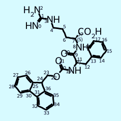 N=C(N)NCCC[C@H](NC(=O)[C@@H](Cc1ccccc1)NC(=O)OCC1c2ccccc2-c2ccccc21)C(=O)O